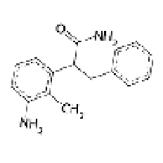 Cc1c(N)cccc1C(Cc1ccccc1)C(N)=O